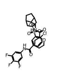 O=C(Nc1cc(F)c(F)c(F)c1)c1ccc(Cl)c(S(=O)(=O)[C@H]2CC3CCC(C2)[C@]3(O)CNC(=O)C2CCCCO2)c1